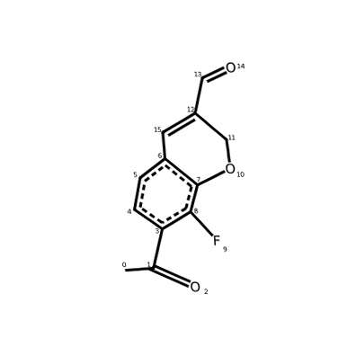 CC(=O)c1ccc2c(c1F)OCC(C=O)=C2